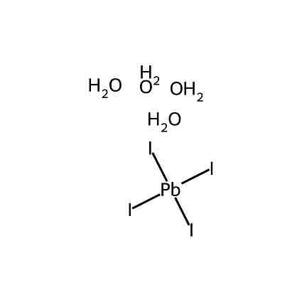 O.O.O.O.[I][Pb]([I])([I])[I]